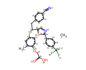 C.Cc1cc(SC(Cc2ccc(C#N)cc2)c2cnc(-c3ccc(C(F)(F)F)cc3)s2)ccc1OCC(=O)O